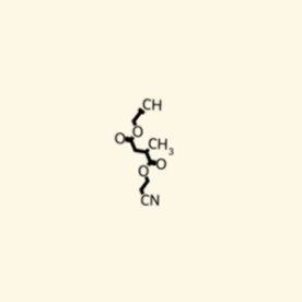 C#CCOC(=O)CC(C)C(=O)OCCC#N